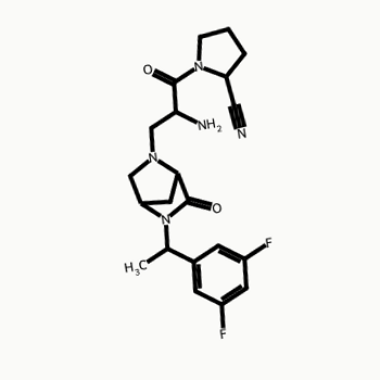 CC(c1cc(F)cc(F)c1)N1C(=O)C2CC1CN2CC(N)C(=O)N1CCCC1C#N